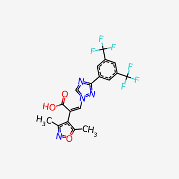 Cc1noc(C)c1C(=Cn1cnc(-c2cc(C(F)(F)F)cc(C(F)(F)F)c2)n1)C(=O)O